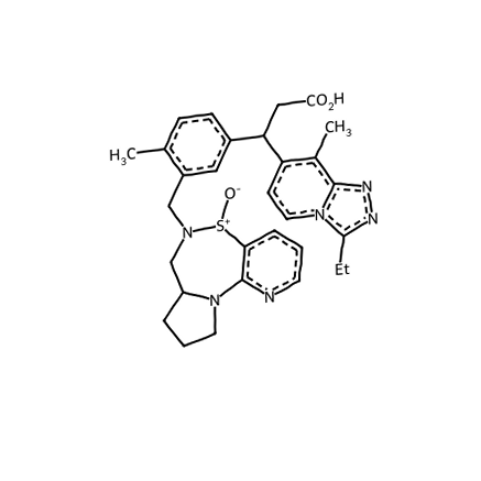 CCc1nnc2c(C)c(C(CC(=O)O)c3ccc(C)c(CN4CC5CCCN5c5ncccc5[S+]4[O-])c3)ccn12